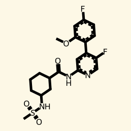 COc1cc(F)ccc1-c1cc(NC(=O)C2CCCC(NS(C)(=O)=O)C2)ncc1F